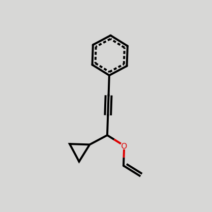 C=COC(C#Cc1ccccc1)C1CC1